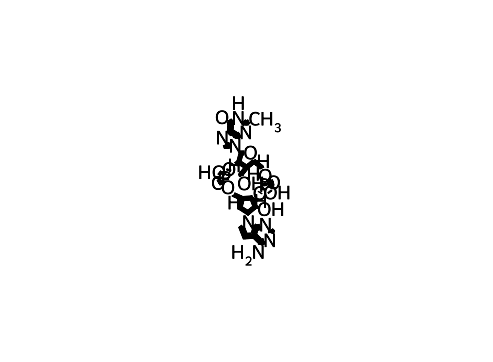 Cc1nc2c(ncn2[C@@H]2O[C@@H]3COP(=O)(O)O[C@@H]4[C@@H](COP(=O)(O)O[C@@H]2[C@@H]3CO)C[C@@H](n2ccc3c(N)ncnc32)[C@@H]4O)c(=O)[nH]1